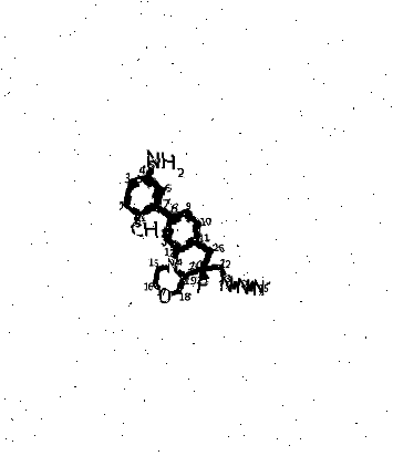 Cc1ccc(N)cc1-c1ccc2c(c1)N1CCOCC1C(F)(CN=[N+]=[N-])C2